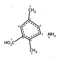 Cc1ccc(C)c(C(=O)O)c1.[AlH3]